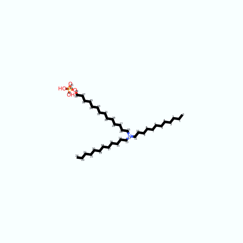 CCCCCCCCCCCCN(CCCCCCCCCCCC)CCCCCCCCCCCCCCOP(=O)(O)O